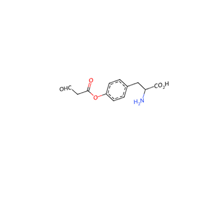 NC(Cc1ccc(OC(=O)CC=O)cc1)C(=O)O